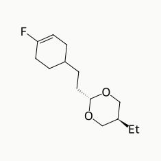 CC[C@H]1CO[C@H](CCC2CC=C(F)CC2)OC1